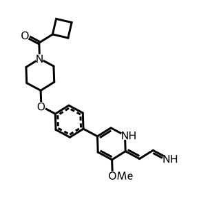 COC1=CC(c2ccc(OC3CCN(C(=O)C4CCC4)CC3)cc2)=CN/C1=C\C=N